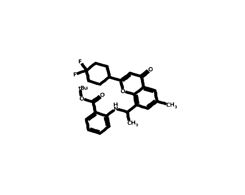 Cc1cc(C(C)Nc2ccccc2C(=O)OC(C)(C)C)c2oc(C3CCC(F)(F)CC3)cc(=O)c2c1